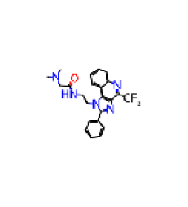 CN(C)CC(=O)NCCn1c(-c2ccccc2)nc2c(C(F)(F)F)nc3ccccc3c21